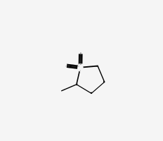 [CH2]C1CCCS1(=O)=O